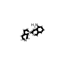 Nc1cccc2cnc(-n3ccc4ccncc43)cc12